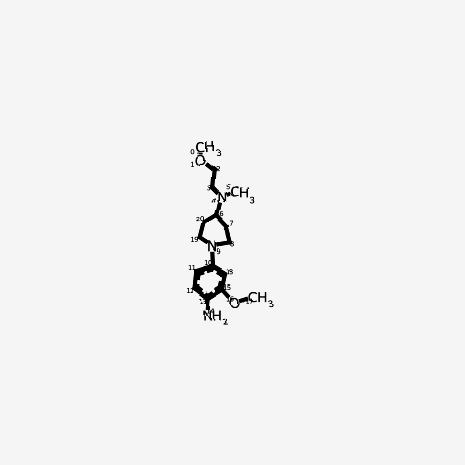 COCCN(C)C1CCN(c2ccc(N)c(OC)c2)CC1